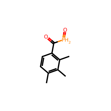 Cc1ccc(C(=O)[PH2]=O)c(C)c1C